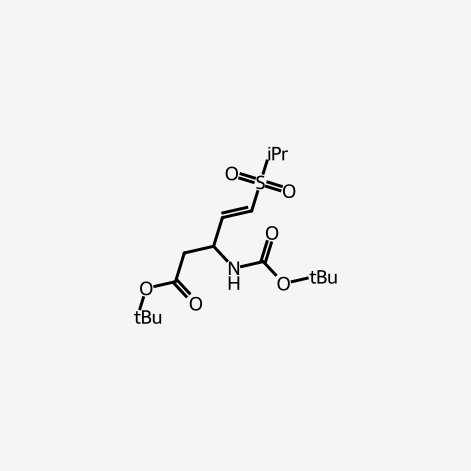 CC(C)S(=O)(=O)/C=C/C(CC(=O)OC(C)(C)C)NC(=O)OC(C)(C)C